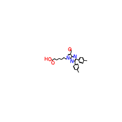 Cc1ccc(-c2nc3c(C=O)cn(CCCCCCC(=O)O)c3nc2-c2ccc(C)cc2)cc1